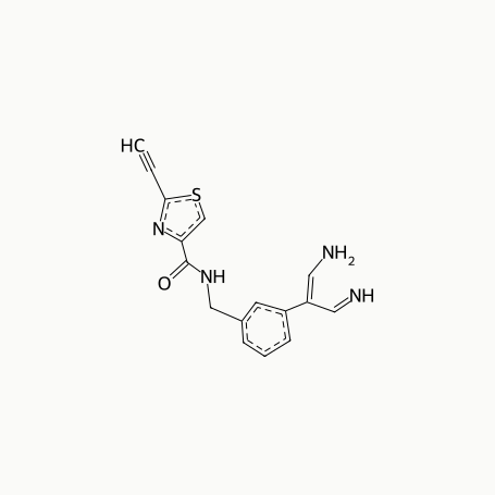 C#Cc1nc(C(=O)NCc2cccc(/C(C=N)=C/N)c2)cs1